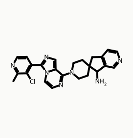 Cc1nccc(-c2ncc3c(N4CCC5(CC4)Cc4ccncc4C5N)nccn23)c1Cl